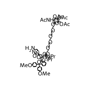 COc1ccc(C(OC(C(C)=O)[C@H]2O[C@@H](n3ccc(N)nc3=O)C[C@@H]2OP(=O)(OCCOCCOCCOCCOCCO[C@@H]2O[C@H](COC(C)=O)[C@H](OC(C)=O)[C@H](OC(C)=O)[C@H]2NC(C)=O)N(C(C)C)C(C)C)(c2ccccc2)c2ccc(OC)cc2)cc1